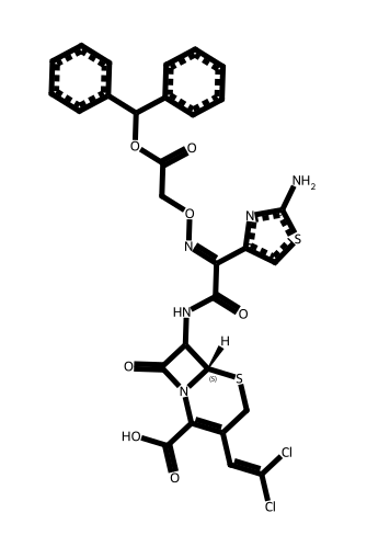 Nc1nc(C(=NOCC(=O)OC(c2ccccc2)c2ccccc2)C(=O)NC2C(=O)N3C(C(=O)O)=C(C=C(Cl)Cl)CS[C@@H]23)cs1